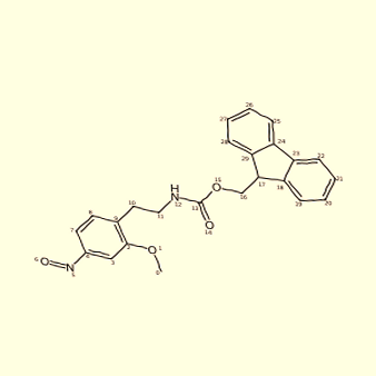 COc1cc(N=O)ccc1CCNC(=O)OCC1c2ccccc2-c2ccccc21